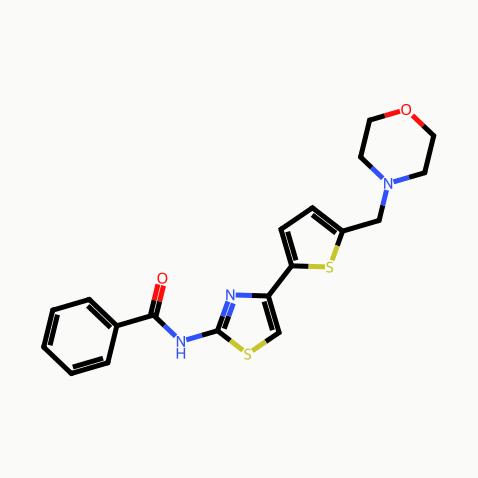 O=C(Nc1nc(-c2ccc(CN3CCOCC3)s2)cs1)c1ccccc1